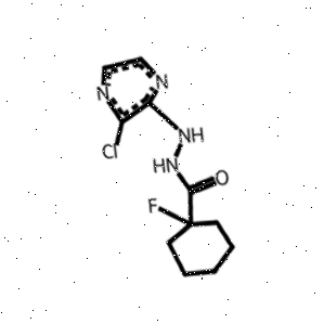 O=C(NNc1nccnc1Cl)C1(F)CCCCC1